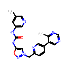 O=C([N-]c1c[n+](Cc2ccc(-c3cncnc3C(F)(F)F)cn2)no1)Nc1cncc(C(F)(F)F)c1